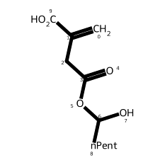 C=C(CC(=O)OC(O)CCCCC)C(=O)O